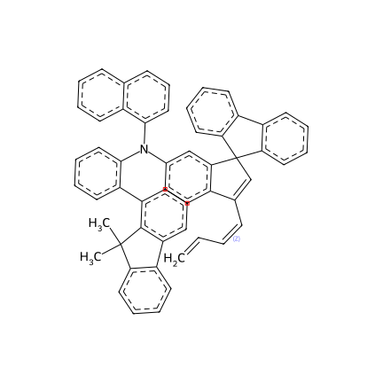 C=C/C=C\C1=CC2(c3cc(N(c4ccccc4-c4cccc5c4C(C)(C)c4ccccc4-5)c4cccc5ccccc45)ccc31)c1ccccc1-c1ccccc12